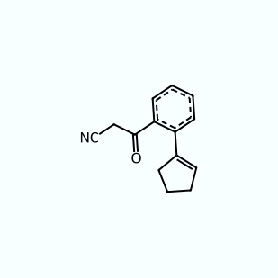 N#CCC(=O)c1ccccc1C1=CCCC1